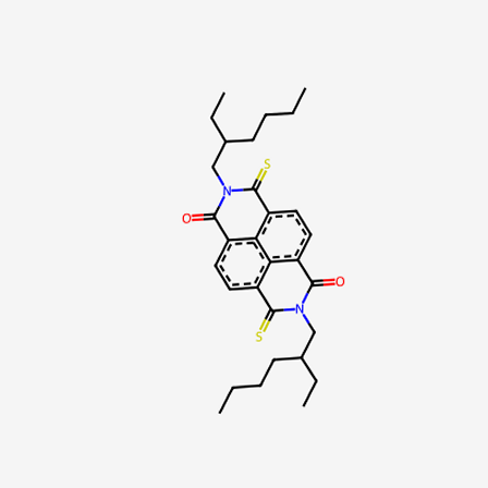 CCCCC(CC)CN1C(=O)c2ccc3c4c(ccc(c24)C1=S)C(=O)N(CC(CC)CCCC)C3=S